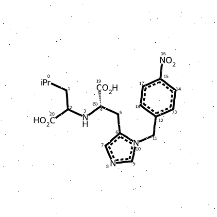 CC(C)CC(N[C@@H](Cc1cncn1Cc1ccc([N+](=O)[O-])cc1)C(=O)O)C(=O)O